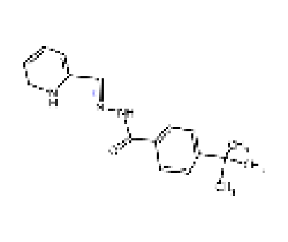 CC(C)(C)c1ccc(C(=O)N/N=C/C2=CC=CCN2)cc1